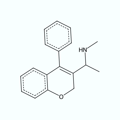 CNC(C)C1=C(c2ccccc2)c2ccccc2OC1